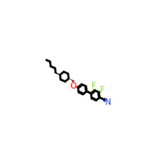 CCCCC[C@H]1CC[C@H](COc2ccc(-c3ccc(C#N)c(F)c3F)cc2)CC1